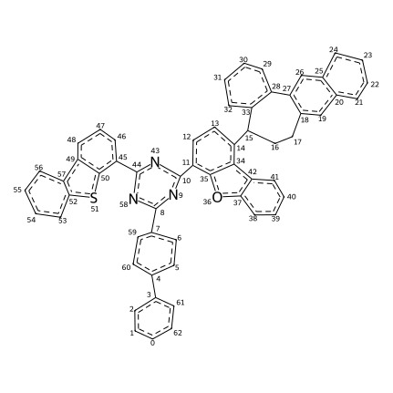 c1ccc(-c2ccc(-c3nc(-c4ccc(C5CCc6cc7ccccc7cc6-c6ccccc65)c5c4oc4ccccc45)nc(-c4cccc5c4sc4ccccc45)n3)cc2)cc1